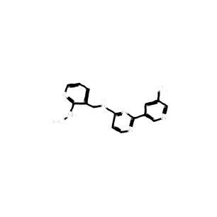 O=CNc1ncccc1CNc1ccnc(-c2cncc(C(F)(F)F)c2)n1